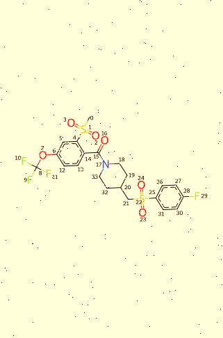 CS(=O)(=O)c1cc(OC(F)(F)F)ccc1C(=O)N1CCC(CS(=O)(=O)c2ccc(F)cc2)CC1